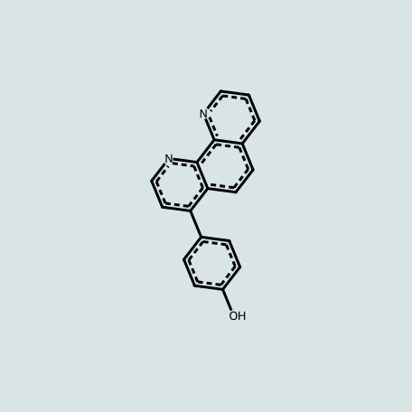 Oc1ccc(-c2ccnc3c2ccc2cccnc23)cc1